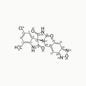 Cc1cc(Cl)cc2c1NC(=O)[C@@]21C(=O)NC(=O)N1Cc1ccc2nonc2c1